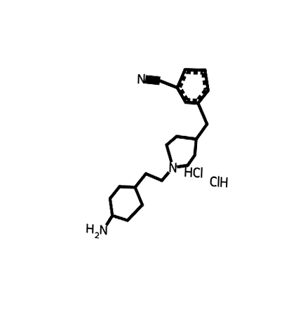 Cl.Cl.N#Cc1cccc(CC2CCN(CCC3CCC(N)CC3)CC2)c1